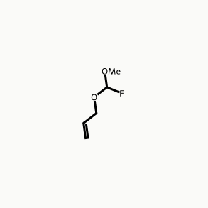 C=CCOC(F)OC